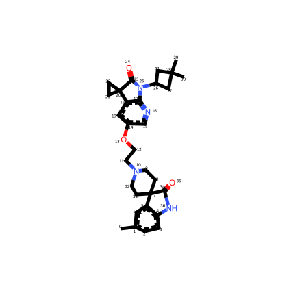 Cc1ccc2c(c1)C1(CCN(CCOc3cnc4c(c3)C3(CC3)C(=O)N4C3CC(C)(C)C3)CC1)C(=O)N2